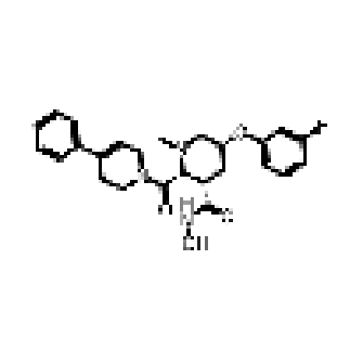 CN1C[C@@H](Oc2cccc(F)c2)C[C@H](C(=O)NO)[C@H]1C(=O)N1CC=C(c2ccccc2)CC1